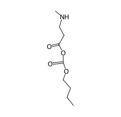 CCCCOC(=O)OC(=O)CCNC